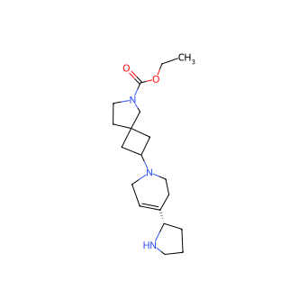 CCOC(=O)N1CCC2(CC(N3CC=C([C@@H]4CCCN4)CC3)C2)C1